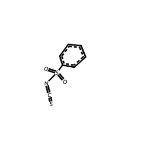 O=S(=O)(N=C=S)c1ccccc1